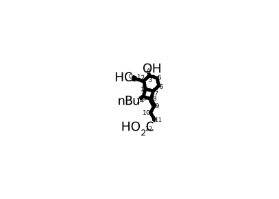 C#CC1C(O)CCC2C(=CCCC(=O)O)C(CCCC)C21